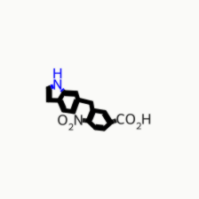 O=C(O)c1ccc([N+](=O)[O-])c(Cc2ccc3cc[nH]c3c2)c1